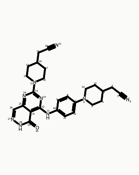 N#CCC1CCN(c2ccc(Nc3nc(N4CCC(CC#N)CC4)nc4cn[nH]c(=O)c34)cc2)CC1